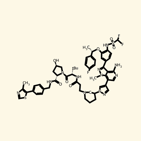 Cc1ncsc1-c1ccc(CNC(=O)[C@@H]2C[C@@H](O)CN2C(=O)[C@@H](NC(=O)CCN2CCCC(n3cc(-c4cnc(N)c5c(-c6ccc(NS(=O)(=O)C(F)F)c(O[C@@H](C)c7ccc(F)cc7)c6)nn(C)c45)cn3)C2)C(C)(C)C)cc1